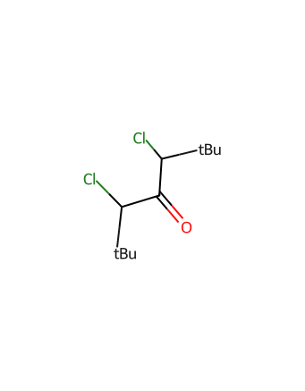 CC(C)(C)C(Cl)C(=O)C(Cl)C(C)(C)C